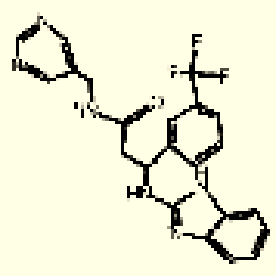 O=C(CC(Nc1nc2ccccc2[nH]1)c1cccc(C(F)(F)F)c1)NCc1cncnc1